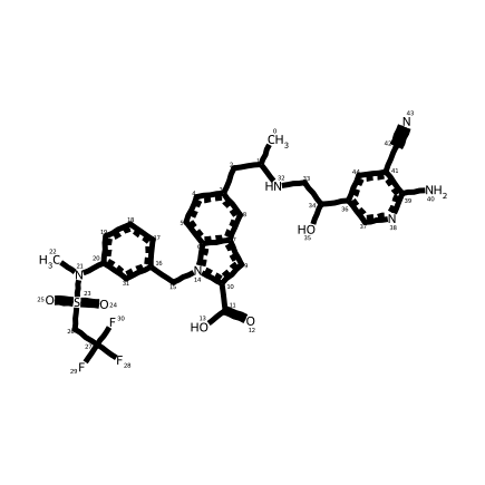 CC(Cc1ccc2c(c1)cc(C(=O)O)n2Cc1cccc(N(C)S(=O)(=O)CC(F)(F)F)c1)NCC(O)c1cnc(N)c(C#N)c1